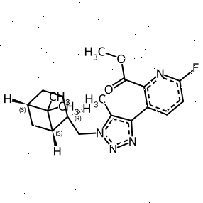 COC(=O)c1nc(F)ccc1-c1nnn(C[C@@H]2CC[C@H]3C[C@@H]2C3(C)C)c1C